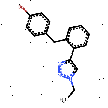 CCn1cc(-c2ccccc2Cc2ccc(Br)cc2)nn1